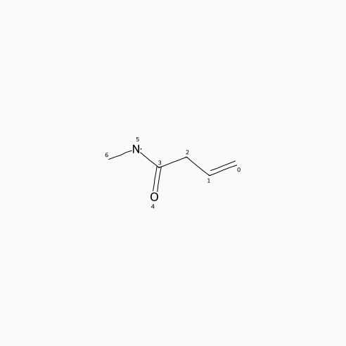 C=CCC(=O)[N]C